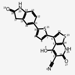 N#Cc1c(O)c2c(-c3ccc(-c4ccc5c(c4)CC(=O)N5)s3)csc2[nH]c1=O